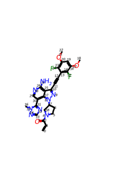 C=CC(=O)N1CCC(n2nc(C#Cc3c(F)c(OC)cc(OC)c3F)c3c(N)ncc(-c4ncnn4C)c32)C1